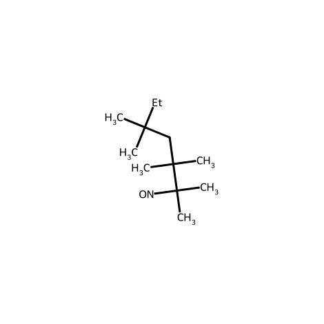 CCC(C)(C)CC(C)(C)C(C)(C)N=O